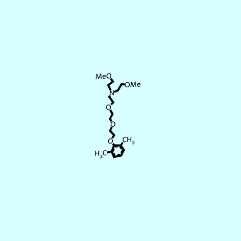 COCCN(CCOC)CCOCCOCCOc1c(C)cccc1C